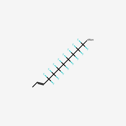 C/C=C/C(F)(F)C(F)(F)C(F)(F)C(F)(F)C(F)(F)C(F)(F)C(F)(F)C(F)(F)CCCCCCCCC